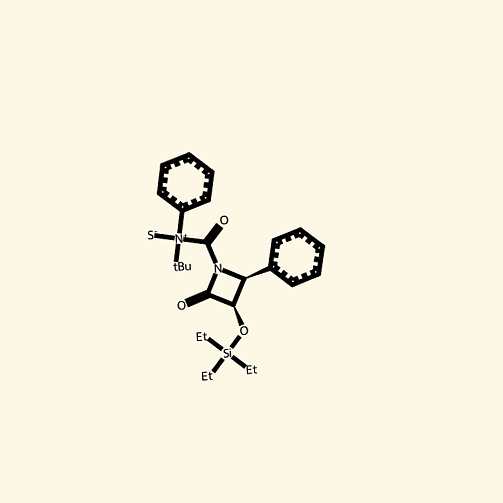 CC[Si](CC)(CC)O[C@H]1C(=O)N(C(=O)[N+]([S-])(c2ccccc2)C(C)(C)C)[C@H]1c1ccccc1